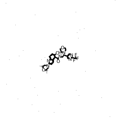 C[C@@H]1CN(c2ccc3c(C(=O)NCC(c4cnc(C(F)(F)F)nc4)N4CCOCC4)c(Cl)ccc3n2)C[C@H](C)O1